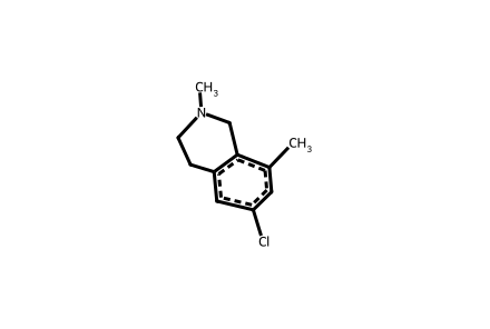 Cc1cc(Cl)cc2c1CN(C)CC2